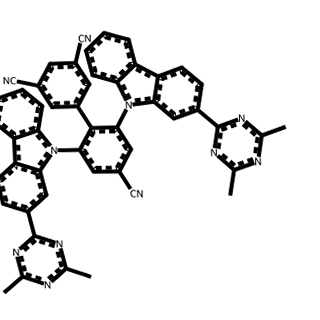 Cc1nc(C)nc(-c2ccc3c4ccccc4n(-c4cc(C#N)cc(-n5c6ccccc6c6ccc(-c7nc(C)nc(C)n7)cc65)c4-c4cc(C#N)cc(C#N)c4)c3c2)n1